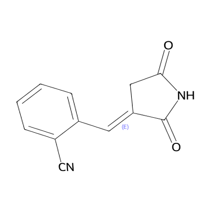 N#Cc1ccccc1/C=C1\CC(=O)NC1=O